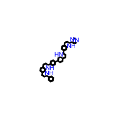 C1=CC2=CC=C(c3ccc4c(c3)NC(c3ccncn3)C=C4)NC2C=C1c1ccc(C2C=Cc3ccc4c(c3N2)NC(c2ccccc2)C=C4)cc1